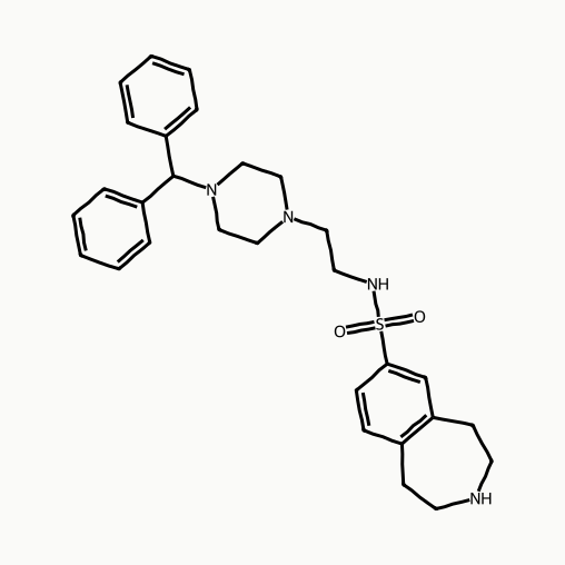 O=S(=O)(NCCN1CCN(C(c2ccccc2)c2ccccc2)CC1)c1ccc2c(c1)CCNCC2